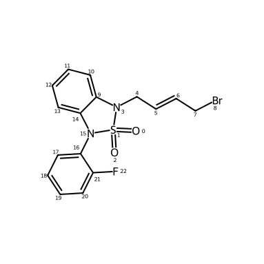 O=S1(=O)N(CC=CCBr)c2ccccc2N1c1ccccc1F